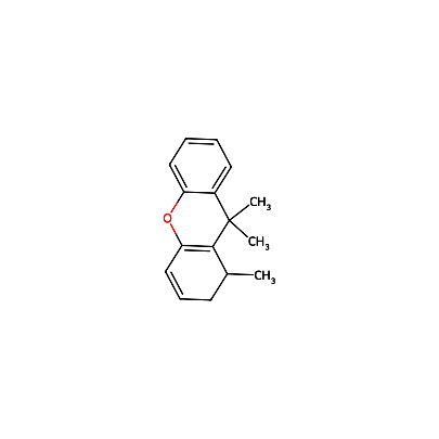 CC1CC=CC2=C1C(C)(C)c1ccccc1O2